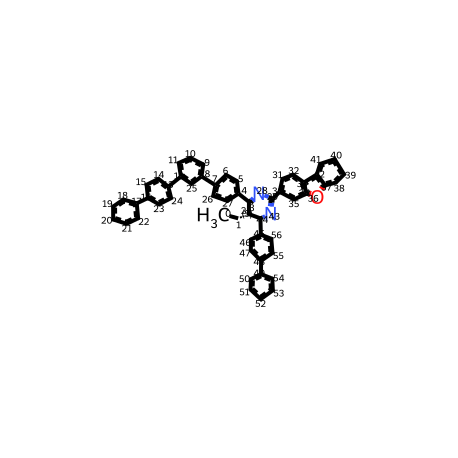 CC[C@@H]1C(c2ccc(-c3cccc(-c4ccc(-c5ccccc5)cc4)c3)cc2)=NC(c2ccc3c(c2)oc2ccccc23)=NC1c1ccc(-c2ccccc2)cc1